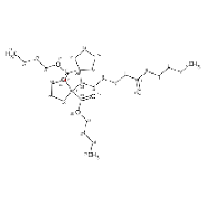 CCCCCC(=O)CCCCC(C1(C(=O)OCCCC)CCCC1)C1(C(=O)OCCCC)CCCC1